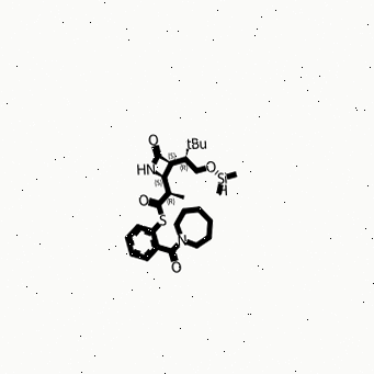 C[C@@H](C(=O)Sc1ccccc1C(=O)N1CCCCCC1)[C@H]1NC(=O)[C@H]1[C@@H](CO[SiH](C)C)C(C)(C)C